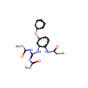 COC(=O)N=C(NC(=O)OC)Nc1cc(Oc2ccccc2)ccc1NC(=O)CC(C)C